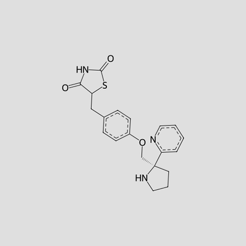 O=C1NC(=O)C(Cc2ccc(OC[C@]3(c4ccccn4)CCCN3)cc2)S1